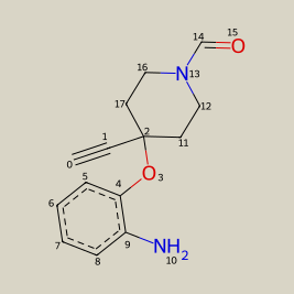 C#CC1(Oc2ccccc2N)CCN(C=O)CC1